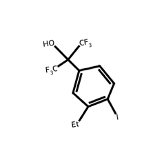 CCc1cc(C(O)(C(F)(F)F)C(F)(F)F)ccc1I